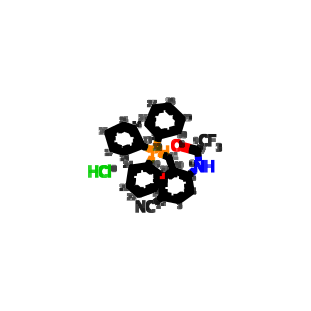 Cl.N#Cc1ccc(NC(=O)C(F)(F)F)c(C[PH](c2ccccc2)(c2ccccc2)c2ccccc2)c1